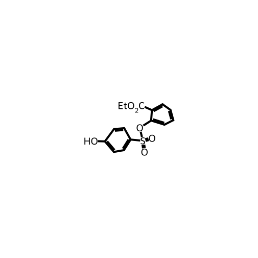 CCOC(=O)c1ccccc1OS(=O)(=O)c1ccc(O)cc1